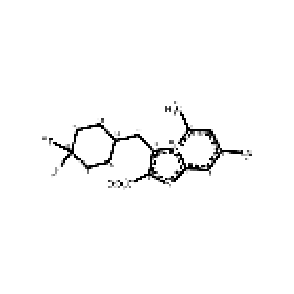 CCOC(=O)c1nc2cc(C#N)cc(C)n2c1CC1CCC(F)(F)CC1